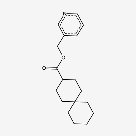 O=C(OCc1cccnc1)C1CCC2(CCCCC2)CC1